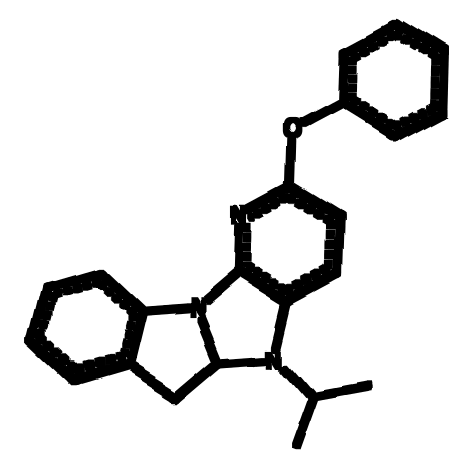 CC(C)N1c2ccc(Oc3ccccc3)nc2N2c3ccccc3CC21